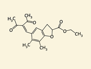 CCOC(=O)C1Cc2cc(C=C(C(C)=O)C(C)=O)c(C)c(C)c2O1